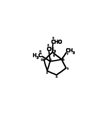 CC1(C)C2CCC1(C)C(C=O)C2